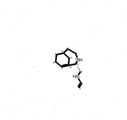 C=CNC[C@H]1NCCC2CCC=C1C2